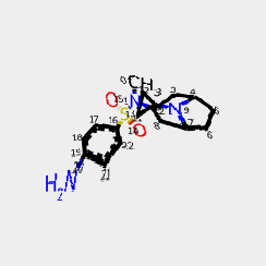 CN(C1CC2CCC(C1)N2C1CC1)S(=O)(=O)c1ccc(N)cc1